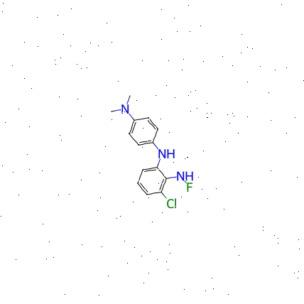 CN(C)c1ccc(Nc2cccc(Cl)c2NF)cc1